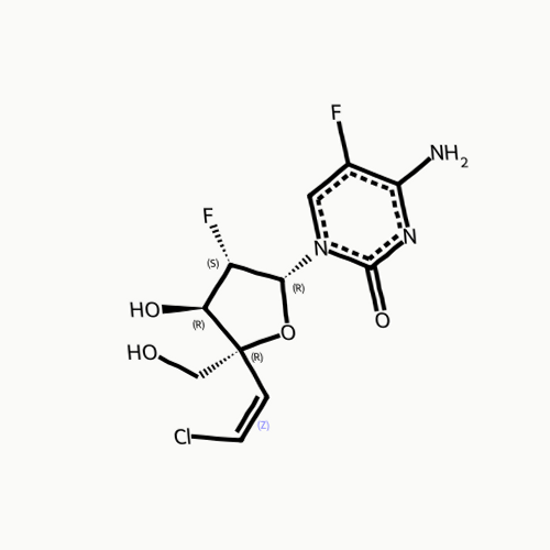 Nc1nc(=O)n([C@@H]2O[C@](/C=C\Cl)(CO)[C@@H](O)[C@@H]2F)cc1F